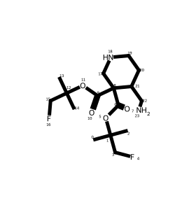 CC(C)(CF)OC(=O)C1(C(=O)OC(C)(C)CF)CNCCC1CN